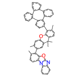 Cc1cc2c(cc1-c1c(C)ccc3c1oc1nc4ccccc4n13)C(C)(C)c1ccc(C)c(-c3ccc4c(c3)-c3ccccc3-c3ccccc3-c3ccccc3-4)c1O2